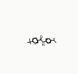 CC(C)c1ccc(NC(=O)c2ccc(C(C)(C)C)nc2)cc1